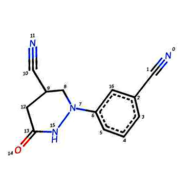 N#Cc1cccc(N2CC(C#N)CC(=O)N2)c1